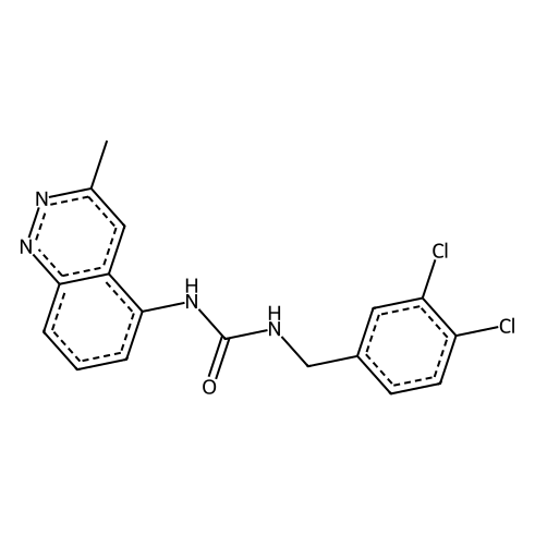 Cc1cc2c(NC(=O)NCc3ccc(Cl)c(Cl)c3)cccc2nn1